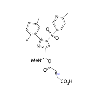 CNC(OC(=O)/C=C/C(=O)O)c1cc(S(=O)(=O)c2ccc(C)nc2)n(-c2cc(C)ccc2F)n1